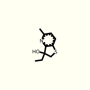 CCC1(O)CSc2ccc(C)nc21